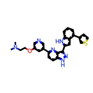 CN(C)CCOc1cncc(-c2ccc3[nH]nc(-c4cc5c(-c6ccsc6)cccc5[nH]4)c3n2)c1